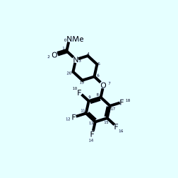 CNC(=O)N1CCC(Oc2c(F)c(F)c(F)c(F)c2F)CC1